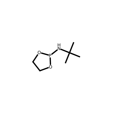 CC(C)(C)NP1OCCO1